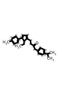 CCC1C(CCC(=O)Cc2ccc(C(C)C)cc2)=CC=C1c1ccc(C)cc1